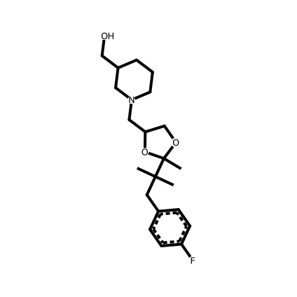 CC(C)(Cc1ccc(F)cc1)C1(C)OCC(CN2CCCC(CO)C2)O1